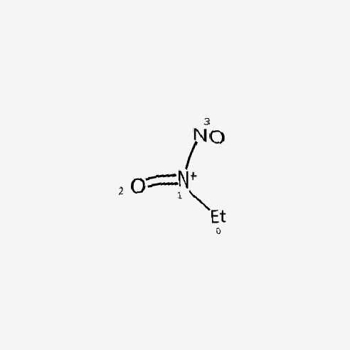 CC[N+](=O)N=O